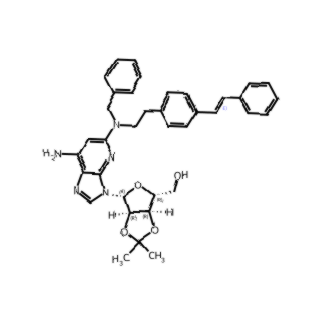 CC1(C)O[C@@H]2[C@H](O1)[C@@H](CO)O[C@H]2n1cnc2c(N)cc(N(CCc3ccc(/C=C/c4ccccc4)cc3)Cc3ccccc3)nc21